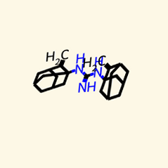 C=C1C2CC3CC(C2)CC1(NC(=N)NC12CC4CC(CC(C4)C1=C)C2)C3